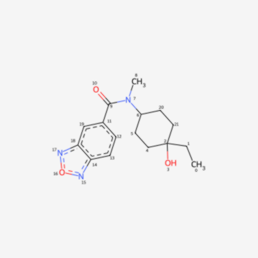 CCC1(O)CCC(N(C)C(=O)c2ccc3nonc3c2)CC1